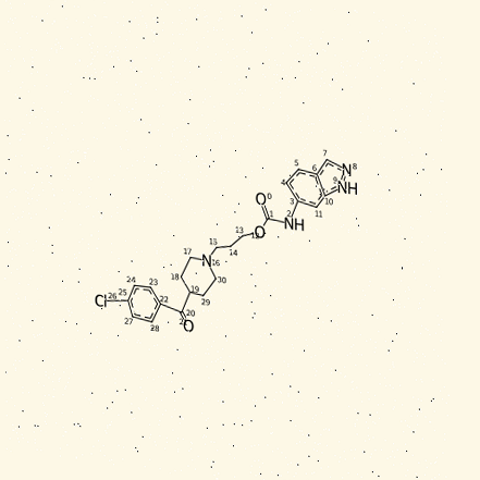 O=C(Nc1ccc2cn[nH]c2c1)OCCCN1CCC(C(=O)c2ccc(Cl)cc2)CC1